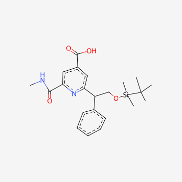 CNC(=O)c1cc(C(=O)O)cc(C(CO[Si](C)(C)C(C)(C)C)c2ccccc2)n1